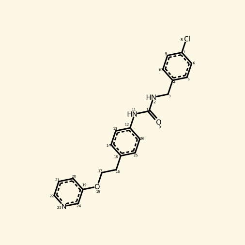 O=C(NCc1ccc(Cl)cc1)Nc1ccc(CCOc2cccnc2)cc1